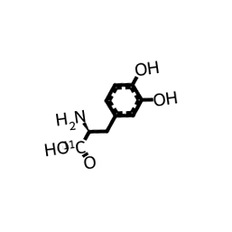 N[C@@H](Cc1ccc(O)c(O)c1)[11C](=O)O